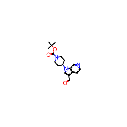 CC(C)(C)OC(=O)N1CCC(n2cc(C=O)c3ccncc32)CC1